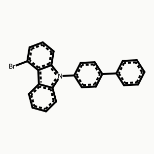 Brc1cccc2c1c1ccccc1n2-c1ccc(-c2ccccc2)cc1